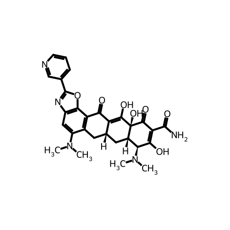 CN(C)c1cc2nc(-c3cccnc3)oc2c2c1C[C@H]1C[C@H]3[C@H](N(C)C)C(O)=C(C(N)=O)C(=O)[C@@]3(O)C(O)=C1C2=O